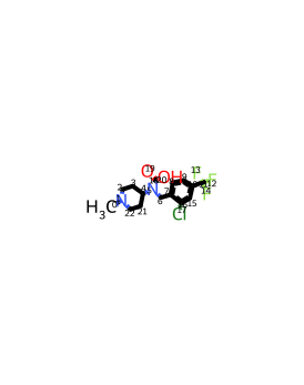 CN1CCC(N(Cc2ccc(C(F)(F)F)cc2Cl)C(=O)O)CC1